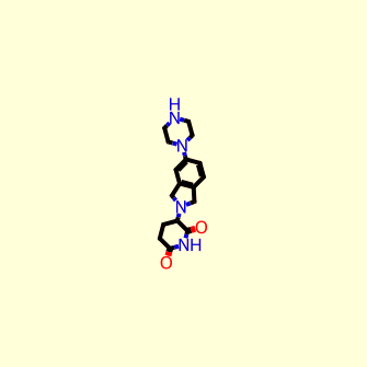 O=C1CCC(N2Cc3ccc(N4CCNCC4)cc3C2)C(=O)N1